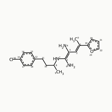 C/C(=C\C(N)=C(/N)NC(C)CCc1ccc(Cl)cc1)c1ccco1